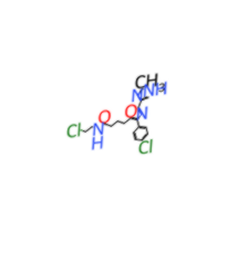 Cc1nc(-c2nc(-c3ccc(Cl)cc3)c(CCCC(=O)NCCCl)o2)c[nH]1